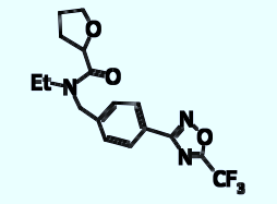 CCN(Cc1ccc(-c2noc(C(F)(F)F)n2)cc1)C(=O)C1CCCO1